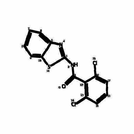 O=C(Nc1nc2ccccc2s1)c1c(Cl)cccc1Cl